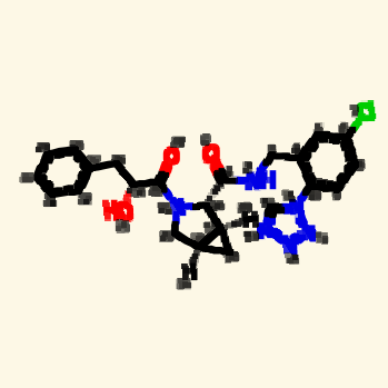 O=C(NCc1cc(Cl)ccc1-n1cnnn1)[C@@H]1[C@H]2C[C@H]2CN1C(=O)[C@H](O)Cc1ccccc1